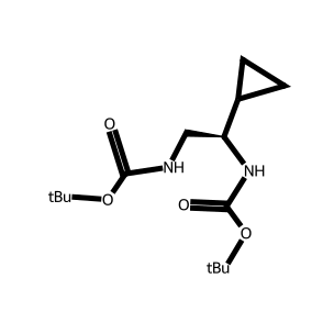 CC(C)(C)OC(=O)NC[C@H](NC(=O)OC(C)(C)C)C1CC1